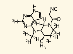 [2H]c1nc(N([C@@H]2[C@H](C)C([2H])([2H])C([2H])([2H])N(C(=O)C[N+]#[C-])C2([2H])[2H])C([2H])([2H])[2H])c2cc[nH]c2n1